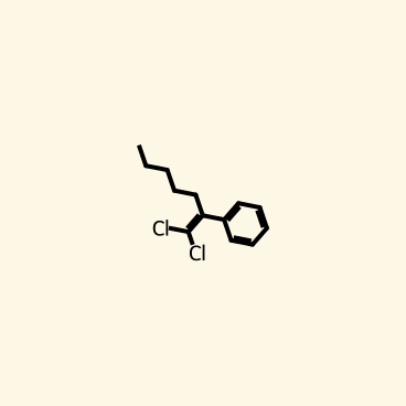 CCCCCC(=C(Cl)Cl)c1ccccc1